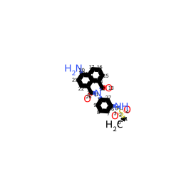 C=CS(=O)(=O)Nc1cccc(N2C(=O)c3cccc4c(N)ccc(c34)C2=O)c1